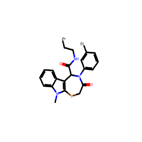 CCc1cccc(N2C(=O)CSc3c(c4ccccc4n3C)C2C(=O)NCCC(C)C)c1